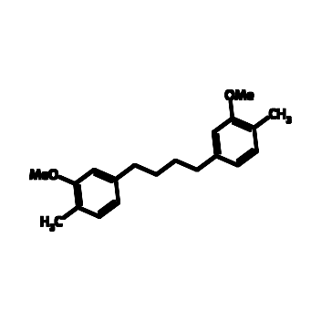 COc1cc(CCCCc2ccc(C)c(OC)c2)ccc1C